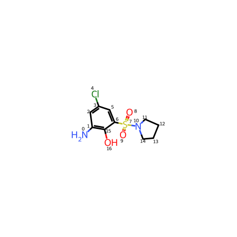 Nc1cc(Cl)cc(S(=O)(=O)N2CCCC2)c1O